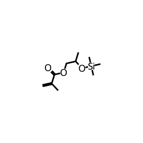 C=C(C)C(=O)OCC(C)O[Si](C)(C)C